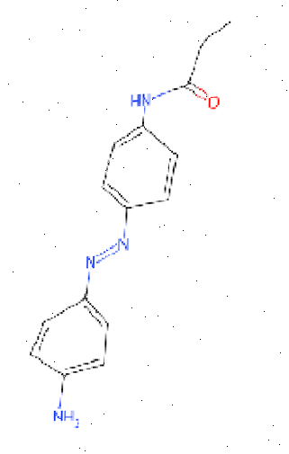 CCC(=O)Nc1ccc(N=Nc2ccc(N)cc2)cc1